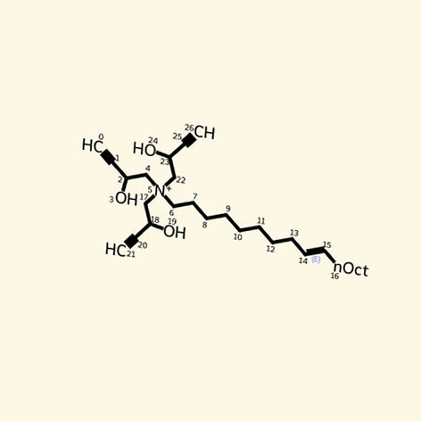 C#CC(O)C[N+](CCCCCCCC/C=C/CCCCCCCC)(CC(O)C#C)CC(O)C#C